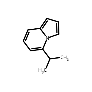 CC(C)c1cccc2cccn12